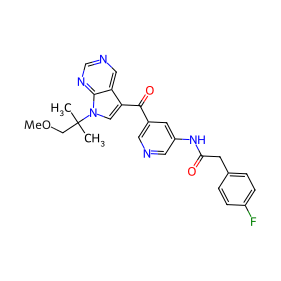 COCC(C)(C)n1cc(C(=O)c2cncc(NC(=O)Cc3ccc(F)cc3)c2)c2cncnc21